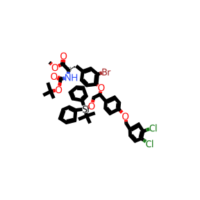 COC(=O)[C@H](Cc1ccc(OC(CO[Si](c2ccccc2)(c2ccccc2)C(C)(C)C)c2ccc(OCc3ccc(Cl)c(Cl)c3)cc2)c(Br)c1)NC(=O)OC(C)(C)C